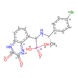 C[C@H](NC(c1cccc2[nH]c(=O)c(=O)[nH]c12)P(=O)(O)O)c1ccc(Br)cc1